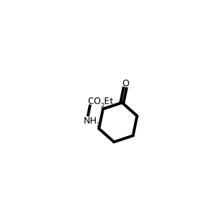 CCOC(N)=O.O=C1CCCCC1